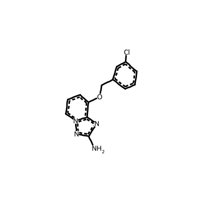 Nc1nc2c(OCc3cccc(Cl)c3)cccn2n1